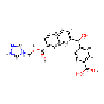 O=C(O)c1ccc(C(O)c2ccc3ccc(C(=O)OCn4cnnc4)cc3c2)cc1